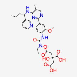 CCC[C@H](Nc1nc(-c2ccc(NC(=O)N(CC)OC(=O)CC(O)(CC(=O)O)C(=O)O)c(OC)c2)ncc1C)c1cccnc1